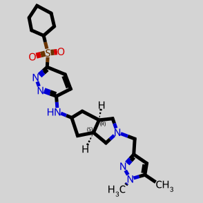 Cc1cc(CN2C[C@H]3CC(Nc4ccc(S(=O)(=O)C5CCCCC5)nn4)C[C@H]3C2)nn1C